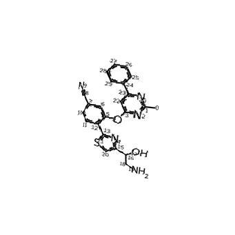 Cc1nc(Oc2cc(C#N)ccc2-c2nc(C(O)CN)cs2)cc(-c2ccccc2)n1